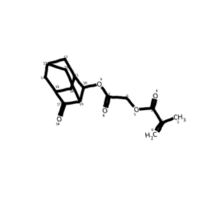 C=C(C)C(=O)OCC(=O)OC1C2CC3CC(C2)C(=O)C1C3